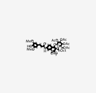 CCCCCCCCOc1c(O[C@@H]2O[C@H](COC(C)=O)[C@H](OC(C)=O)[C@H](OC(C)=O)[C@H]2OC(C)=O)c2ccc(NC(=O)C=Cc3cc(OC)c(O)c(OC)c3)cc2n(C)c1=O